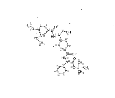 COc1ccc(C(=O)NC(CO)c2ccc(C(=O)NN(C(=O)OC(C)(C)C)c3ccccc3)cc2)cc1OC